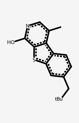 Cc1cnc(O)c2sc3cc(CC(C)(C)C)ccc3c12